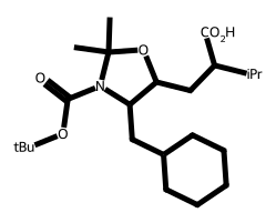 CC(C)C(CC1OC(C)(C)N(C(=O)OC(C)(C)C)C1CC1CCCCC1)C(=O)O